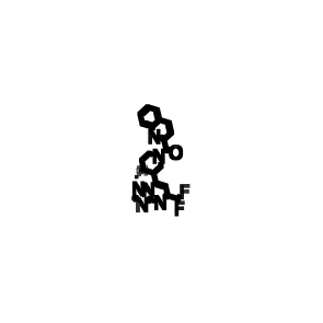 C[C@@H]1CCN(C(=O)c2ccc3ccccc3n2)CC1c1cc(C(F)F)nc2ncnn12